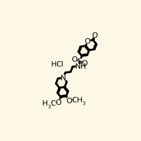 COc1cc2c(cc1OC)CN(CCCNS(=O)(=O)c1ccc3oc(=O)ccc3c1)CC2.Cl